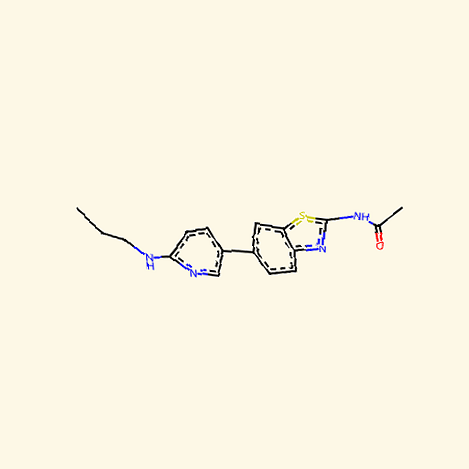 CCCNc1ccc(-c2ccc3nc(NC(C)=O)sc3c2)cn1